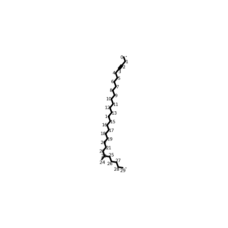 [CH2]CC#CCCCCCCCCCCCCCCCCCCCC(C)CCCC[CH2]